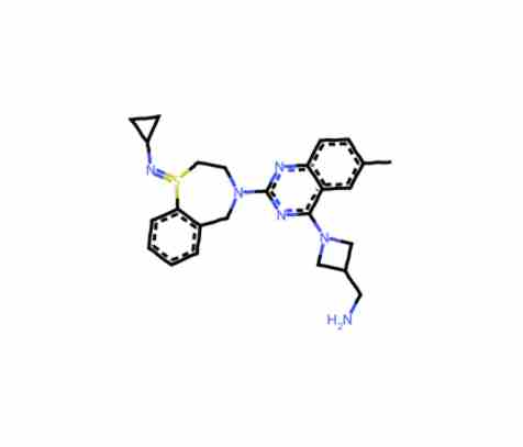 Cc1ccc2nc(N3CCS(=NC4CC4)c4ccccc4C3)nc(N3CC(CN)C3)c2c1